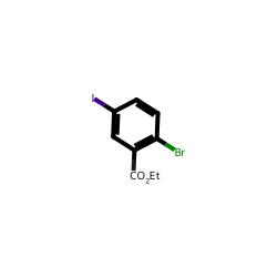 CCOC(=O)c1cc(I)ccc1Br